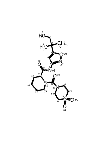 CC(C)(CO)c1cc(NC(=O)[C@@H]2CCCCN2C(=O)N2CCS(=O)(=O)CC2)no1